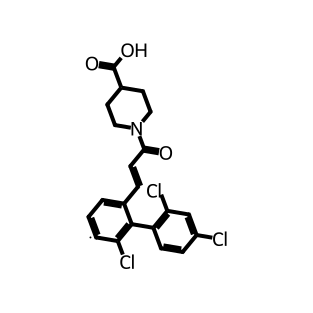 O=C(O)C1CCN(C(=O)/C=C/c2cc[c]c(Cl)c2-c2ccc(Cl)cc2Cl)CC1